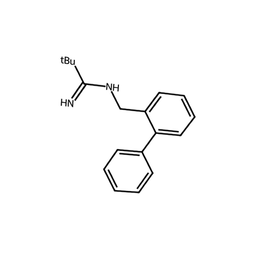 CC(C)(C)C(=N)NCc1ccccc1-c1ccccc1